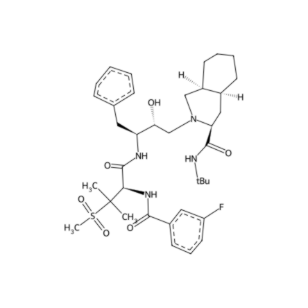 CC(C)(C)NC(=O)[C@@H]1C[C@@H]2CCCC[C@@H]2CN1C[C@@H](O)[C@H](Cc1ccccc1)NC(=O)[C@@H](NC(=O)c1cccc(F)c1)C(C)(C)S(C)(=O)=O